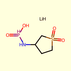 O=[PH](O)NC1CCS(=O)(=O)C1.[LiH]